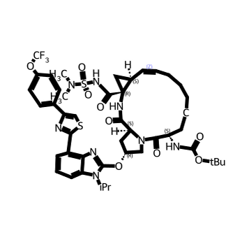 CC(C)n1c(O[C@@H]2C[C@H]3C(=O)N[C@]4(C(=O)NS(=O)(=O)N(C)C)C[C@H]4/C=C\CCCCC[C@H](NC(=O)OC(C)(C)C)C(=O)N3C2)nc2c(-c3nc(-c4ccc(OC(F)(F)F)cc4)cs3)cccc21